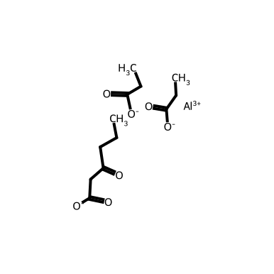 CCC(=O)[O-].CCC(=O)[O-].CCCC(=O)CC(=O)[O-].[Al+3]